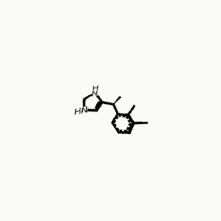 Cc1cccc([C@H](C)C2=CNCN2)c1C